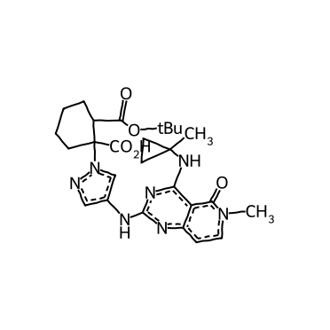 Cn1ccc2nc(Nc3cnn(C4(C(=O)O)CCCCC4C(=O)OC(C)(C)C)c3)nc(NC3(C)CC3)c2c1=O